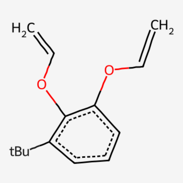 C=COc1cccc(C(C)(C)C)c1OC=C